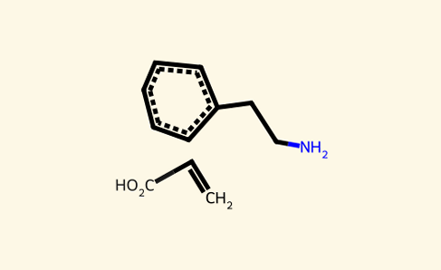 C=CC(=O)O.NCCc1ccccc1